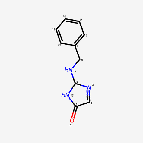 O=C1C=NC(NCc2ccccc2)N1